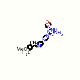 COc1cc(C)c(-c2cn3ccc(N4CCN(C(=N/CN)/N=C(\N)N5CCOCC5)CC4)cc3n2)cc1C